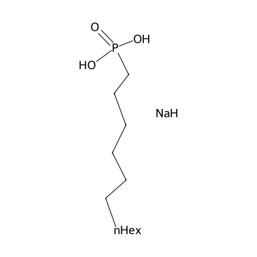 CCCCCCCCCCCCP(=O)(O)O.[NaH]